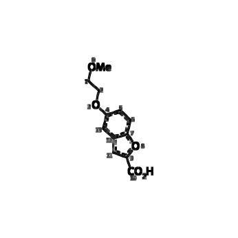 COCCOc1ccc2oc(C(=O)O)cc2c1